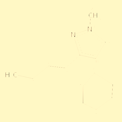 C1CCCCC1.CCCCc1ccn(C)n1